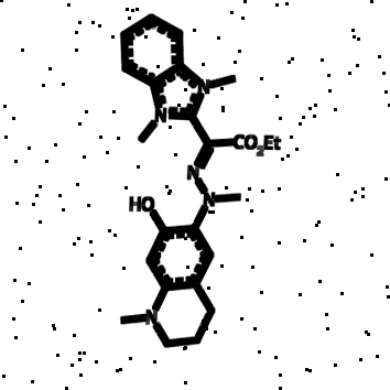 CCOC(=O)/C(=N\N(C)c1cc2c(cc1O)N(C)CCC2)c1n(C)c2ccccc2[n+]1C